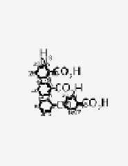 N.O=C(O)c1ccccc1.O=C(O)c1ccccc1.O=C(O)c1ccccc1.O=C(O)c1ccccc1